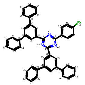 Brc1ccc(-c2nc(-c3cc(-c4ccccc4)cc(-c4ccccc4)c3)nc(-c3cc(-c4ccccc4)cc(-c4ccccc4)c3)n2)cc1